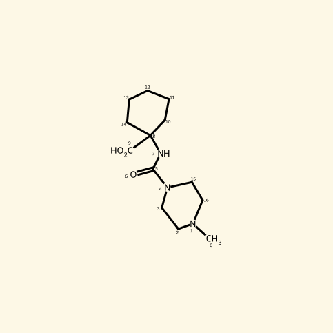 CN1CCN(C(=O)NC2(C(=O)O)CCCCC2)CC1